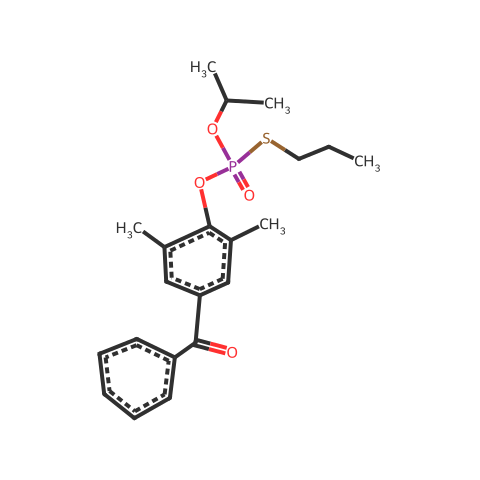 CCCSP(=O)(Oc1c(C)cc(C(=O)c2ccccc2)cc1C)OC(C)C